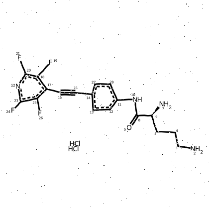 Cl.Cl.NCCC[C@H](N)C(=O)Nc1ccc(C#Cc2c(F)c(F)nc(F)c2F)cc1